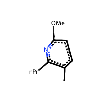 CCCc1nc(OC)ccc1C